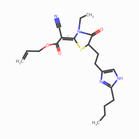 C=CCOC(=O)/C(C#N)=C1\SC(CCc2c[nH]c(CCCC)n2)C(=O)N1CC